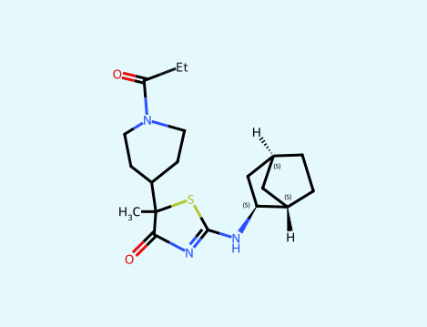 CCC(=O)N1CCC(C2(C)SC(N[C@H]3C[C@H]4CC[C@H]3C4)=NC2=O)CC1